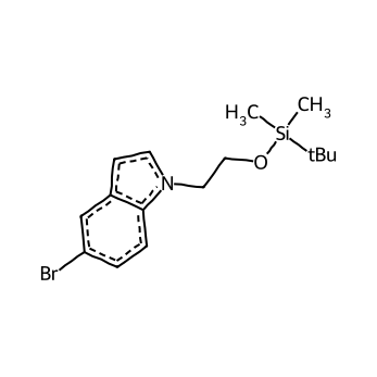 CC(C)(C)[Si](C)(C)OCCn1ccc2cc(Br)ccc21